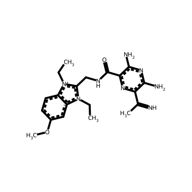 CCn1c(CNC(=O)c2nc(C(C)=N)c(N)nc2N)[n+](CC)c2ccc(OC)cc21